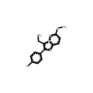 COc1ccc2nc(-c3ccc(Cl)cc3)c(CN)n2n1